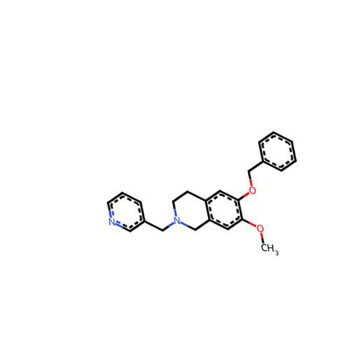 COc1cc2c(cc1OCc1ccccc1)CCN(Cc1cccnc1)C2